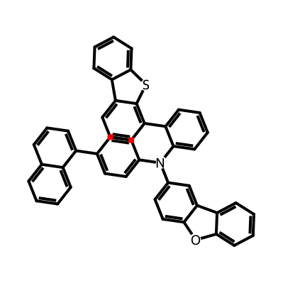 c1ccc(N(c2ccc(-c3cccc4ccccc34)cc2)c2ccc3oc4ccccc4c3c2)c(-c2cccc3c2sc2ccccc23)c1